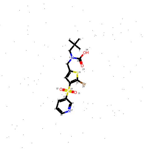 CC(C)(C)CN(Cc1cc(S(=O)(=O)c2cccnc2)c(Br)s1)C(=O)O